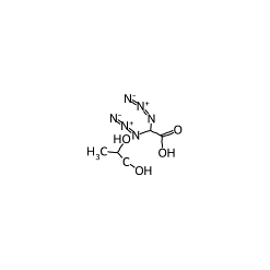 CC(O)CO.[N-]=[N+]=NC(N=[N+]=[N-])C(=O)O